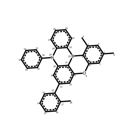 Cc1cc(C)c2c(c1)Oc1cc(-c3ccccc3C)cc3c1B2c1ccccc1N3c1ccccc1